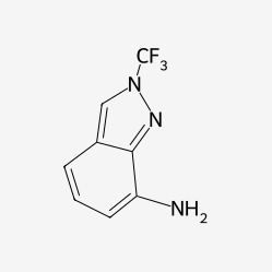 Nc1cccc2cn(C(F)(F)F)nc12